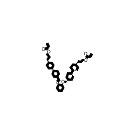 C=CC(=O)OCCC[C@H]1CC[C@H](C2CCC(CO[C@@H]3CCCC[C@H]3OC[C@H]3CC[C@H]([C@H]4CC[C@H](CCCOC(=O)C=C)CC4)CC3)CC2)CC1